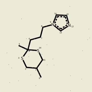 CC1CSC(C)(CCCn2ccnc2)SC1